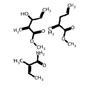 C=CC(O)C(=C)C(=O)OC.C=CCC(=C)C(=O)OC.CC=C(C)C(N)=O